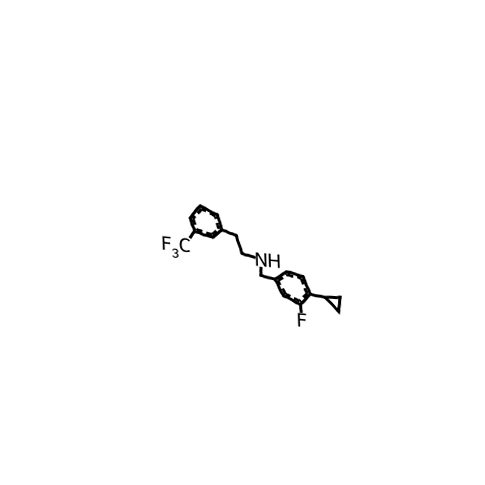 Fc1cc(CNCCc2cccc(C(F)(F)F)c2)ccc1C1CC1